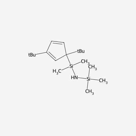 CC(C)(C)C1=CC(C(C)(C)C)([Si](C)(C)N[Si](C)(C)C)C=C1